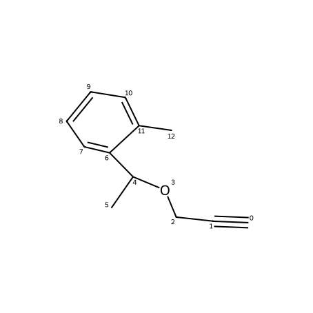 C#CCOC(C)c1ccccc1C